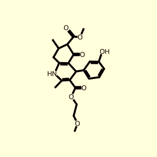 COCCOC(=O)C1=C(C)NC2=C(C(=O)C(C(=O)OC)C(C)C2)C1c1cccc(O)c1